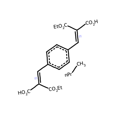 CCCC.CCOC(=O)/C(=C\c1ccc(/C=C(/C(=O)O)C(=O)OCC)cc1)C(=O)O